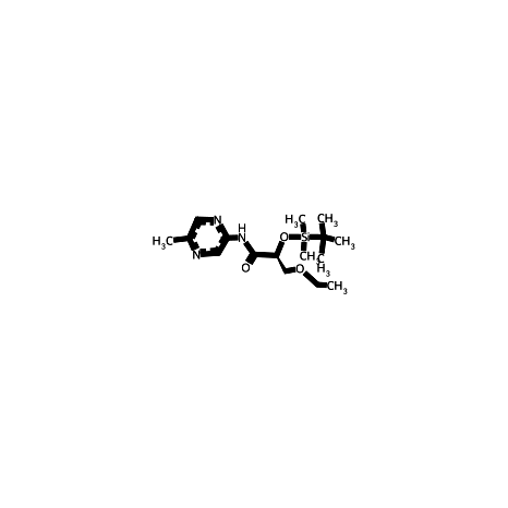 CCOC[C@H](O[Si](C)(C)C(C)(C)C)C(=O)Nc1cnc(C)cn1